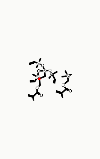 C=C(C)C(=O)OC[Si](C)(C)C.C=C[Si](C)(C)O[Si](CCCOC(=O)C(=C)C)(O[Si](C)(C)C=C)O[Si](C)(C)C=C